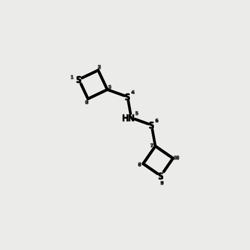 C1SCC1SNSC1CSC1